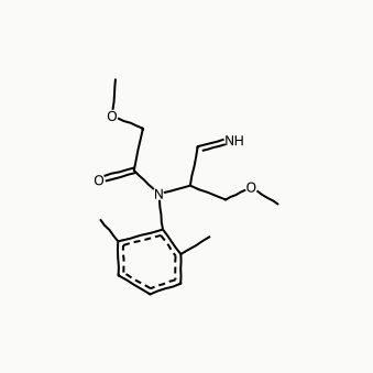 COCC(=O)N(c1c(C)cccc1C)C(C=N)COC